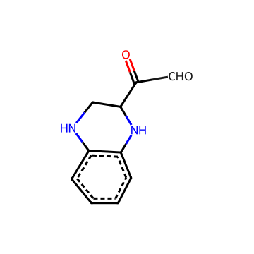 O=CC(=O)C1CNc2ccccc2N1